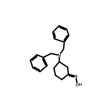 O/N=C1\CCCC(N(Cc2ccccc2)Cc2ccccc2)C1